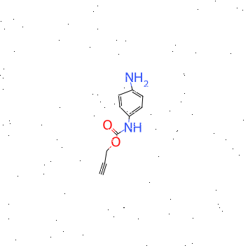 C#CCOC(=O)Nc1ccc(N)cc1